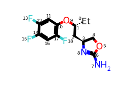 CC[C@H](C[C@H]1COC(N)=N1)Oc1cc(F)c(F)cc1F